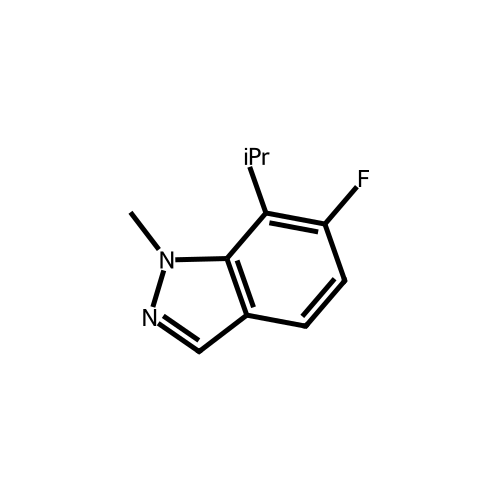 CC(C)c1c(F)ccc2cnn(C)c12